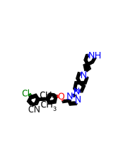 CC(C)(c1ccc(OCc2ccnc(N3CCC4(CC3)CCN(C3CC5(CCNCC5)C3)CC4)n2)cc1)c1cc(Cl)cc(C#N)c1